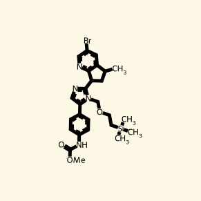 COC(=O)Nc1ccc(-c2cnc(C3CC(C)c4cc(Br)cnc43)n2COCC[Si](C)(C)C)cc1